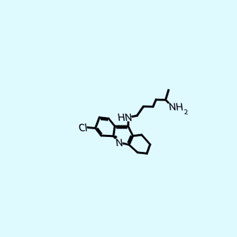 CC(N)CCCCNc1c2c(nc3cc(Cl)ccc13)CCCC2